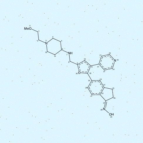 COCCN1CCC(NCc2cc(-c3ccncc3)c(-c3ccc4c(c3)CC/C4=N\O)o2)CC1